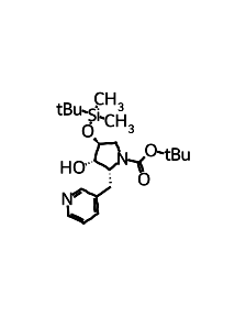 CC(C)(C)OC(=O)N1C[C@H](O[Si](C)(C)C(C)(C)C)[C@@H](O)[C@H]1Cc1cccnc1